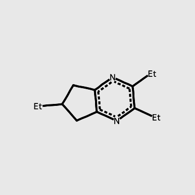 CCc1nc2c(nc1CC)CC(CC)C2